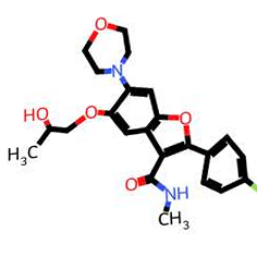 CNC(=O)c1c(-c2ccc(F)cc2)oc2cc(N3CCOCC3)c(OCC(C)O)cc12